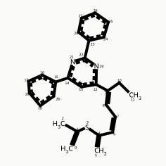 C=C(C)SC(=C)/C=C\C=C(/CC)c1cc(-c2ccccc2)nc(-c2ccccc2)n1